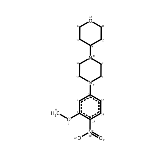 COc1cc(N2CCN(C3CCOCC3)CC2)ccc1[N+](=O)[O-]